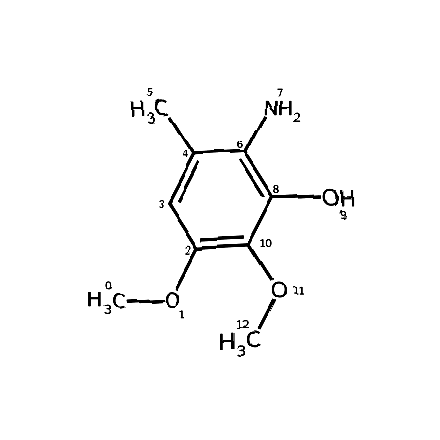 COc1cc(C)c(N)c(O)c1OC